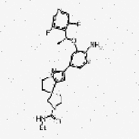 CCNC(=O)N1CC[C@@]2(CCn3nc(-c4cnc(N)c(O[C@@H](C)c5c(F)cncc5F)c4)cc32)C1